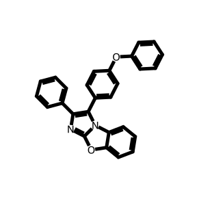 c1ccc(Oc2ccc(-c3c(-c4ccccc4)nc4oc5ccccc5n34)cc2)cc1